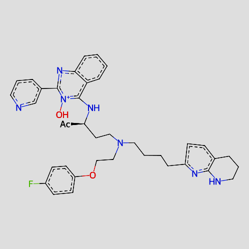 CC(=O)[C@H](CCN(CCCCc1ccc2c(n1)NCCC2)CCOc1ccc(F)cc1)Nc1c2ccccc2nc(-c2cccnc2)[n+]1O